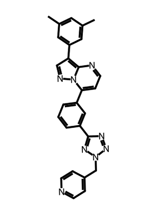 Cc1cc(C)cc(-c2cnn3c(-c4cccc(-c5nnn(Cc6ccncc6)n5)c4)ccnc23)c1